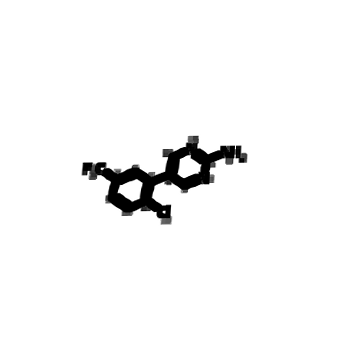 Nc1ncc(-c2cc(C(F)(F)F)ccc2Cl)cn1